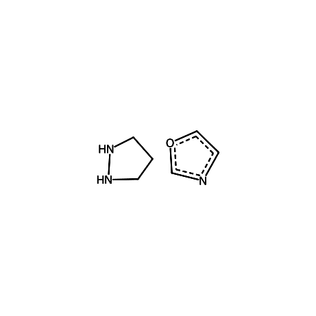 C1CNNC1.c1cocn1